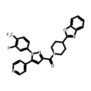 O=C(c1cc(-c2ccncc2)n(-c2ccc(C(F)(F)F)c(F)c2)n1)N1CCC(c2nc3ccccc3o2)CC1